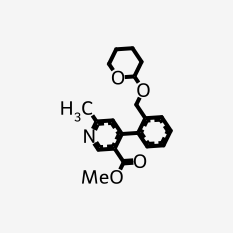 COC(=O)c1cnc(C)cc1-c1ccccc1COC1CCCCO1